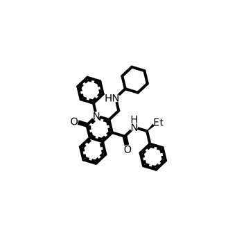 CC[C@H](NC(=O)c1c(CNC2CCCCC2)n(-c2ccccc2)c(=O)c2ccccc12)c1ccccc1